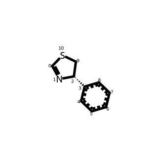 [C]1=N[C@@H](c2ccccc2)CS1